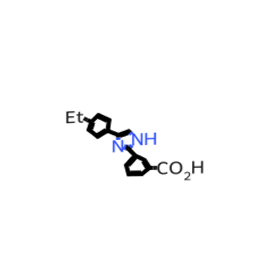 CCc1ccc(-c2c[nH]c(-c3cccc(C(=O)O)c3)n2)cc1